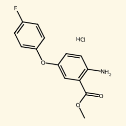 COC(=O)c1cc(Oc2ccc(F)cc2)ccc1N.Cl